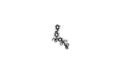 CCC(=O)N(c1ccc(NC(=O)CCC(=O)OC)cc1)C1CCN(CCc2ccccc2)CC1